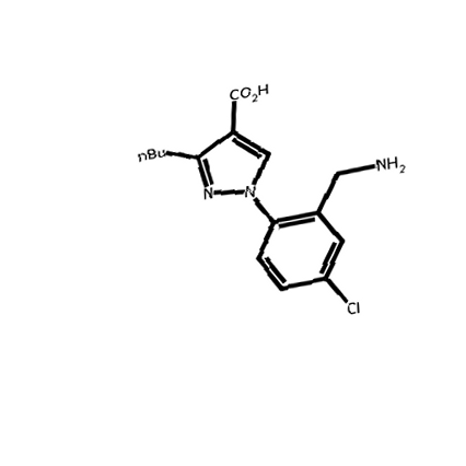 CCCCc1nn(-c2ccc(Cl)cc2CN)cc1C(=O)O